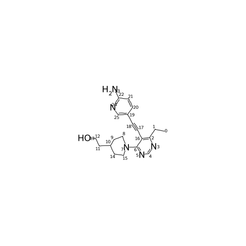 CCc1ncnc(N2CCC(CCO)CC2)c1C#Cc1ccc(N)nc1